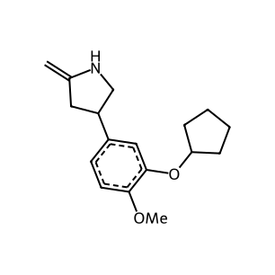 C=C1CC(c2ccc(OC)c(OC3CCCC3)c2)CN1